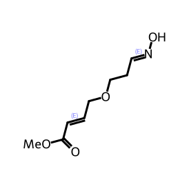 COC(=O)/C=C/COCC/C=N/O